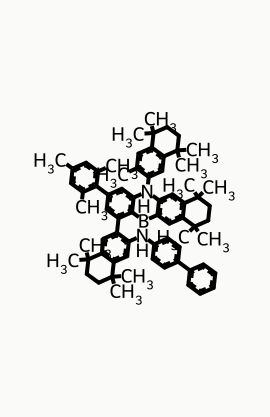 Cc1cc(C)c(-c2cc(-c3cc4c(cc3Nc3ccc(-c5ccccc5)cc3)C(C)(C)CCC4(C)C)c3c(c2)N(c2cc4c(cc2C)C(C)(C)CCC4(C)C)c2cc4c(cc2B3)C(C)(C)CCC4(C)C)c(C)c1